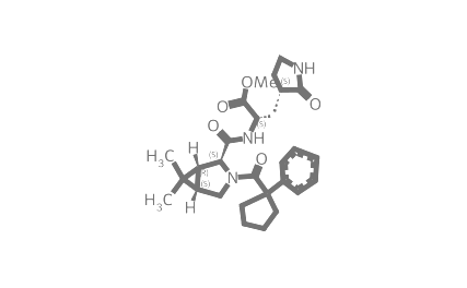 COC(=O)[C@H](C[C@@H]1CCNC1=O)NC(=O)[C@@H]1[C@@H]2[C@H](CN1C(=O)C1(c3ccccc3)CCCC1)C2(C)C